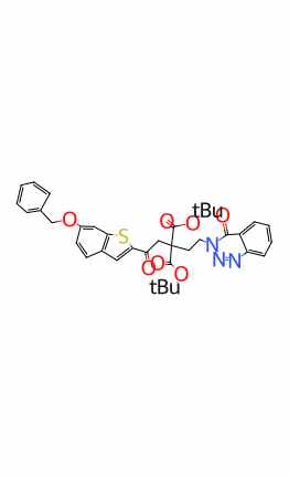 CC(C)(C)OC(=O)C(CCn1nnc2ccccc2c1=O)(CC(=O)c1cc2ccc(OCc3ccccc3)cc2s1)C(=O)OC(C)(C)C